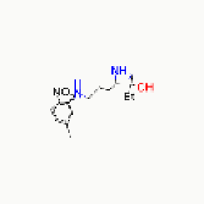 CCC(C)(O)C(N)CCCNc1cc(C)ccc1[N+](=O)[O-]